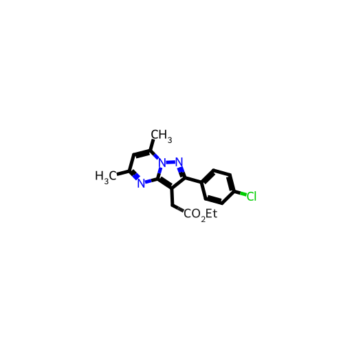 CCOC(=O)Cc1c(-c2ccc(Cl)cc2)nn2c(C)cc(C)nc12